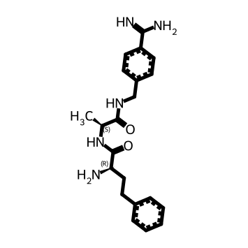 C[C@H](NC(=O)[C@H](N)CCc1ccccc1)C(=O)NCc1ccc(C(=N)N)cc1